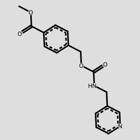 COC(=O)c1ccc(COC(=O)NCc2cccnc2)cc1